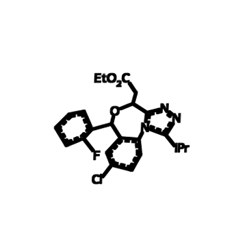 CCOC(=O)CC1OC(c2ccccc2F)c2cc(Cl)ccc2-n2c(C(C)C)nnc21